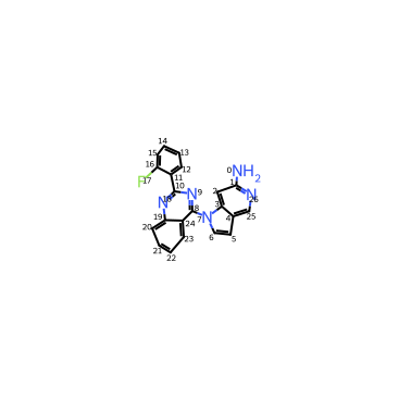 Nc1cc2c(ccn2-c2nc(-c3ccccc3F)nc3ccccc23)cn1